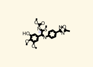 COC(=O)/N=C(\SC)C(=Nc1ccc(-c2noc(C)n2)cc1)c1cc(O)c(OC)c(OC)c1